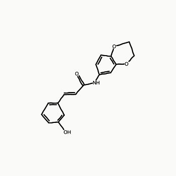 O=C(/C=C/c1cccc(O)c1)Nc1ccc2c(c1)OCCO2